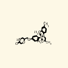 Cc1ccc(N(CC(C)C)S(=O)(=O)c2ccc(OCC3CNC(=O)CO3)cc2)c(C)c1